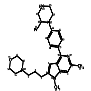 Cc1cc2c(cc(CCCN3CCOCC3)n2C)c(-c2ccc(N3CCNCC3C(C)C)cc2)n1